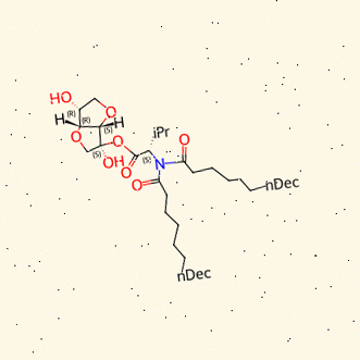 CCCCCCCCCCCCCCCC(=O)N(C(=O)CCCCCCCCCCCCCCC)[C@H](C(=O)O[C@@]1(O)CO[C@@H]2[C@H](O)CO[C@@H]21)C(C)C